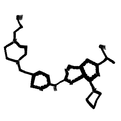 CC(O)c1cc2cnc(Nc3ccc(CN4CCN(CCO)CC4)cn3)nc2c(N2CCC2)n1